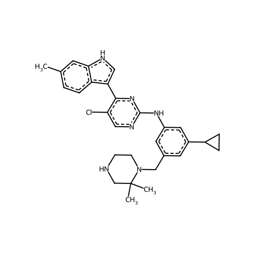 Cc1ccc2c(-c3nc(Nc4cc(CN5CCNCC5(C)C)cc(C5CC5)c4)ncc3Cl)c[nH]c2c1